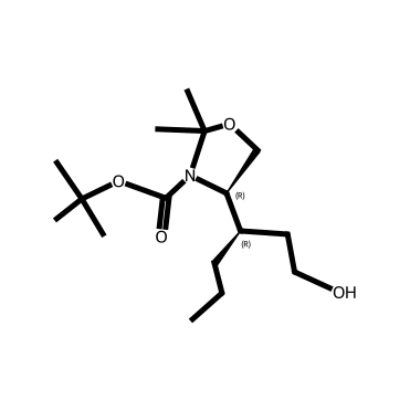 CCC[C@H](CCO)[C@@H]1COC(C)(C)N1C(=O)OC(C)(C)C